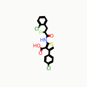 O=C(O)c1c(-c2ccc(Cl)cc2)csc1NC(=O)C(F)Cc1ccccc1Cl